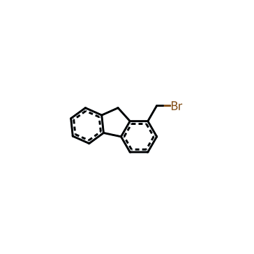 BrCc1cccc2c1Cc1ccccc1-2